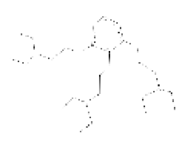 CCN(CC)CCOc1cccc(OCCN(CC)CC)c1OCCN(CC)CC